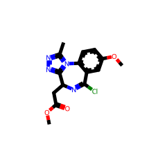 COC(=O)CC1N=C(Cl)c2cc(OC)ccc2-n2c(C)nnc21